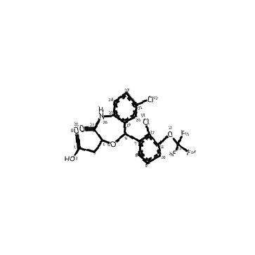 O=C(O)CC1OC(c2cccc(OC(F)(F)F)c2Cl)c2cc(Cl)ccc2NC1=O